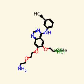 C#Cc1cccc(Nc2ncnc3cc(OCCOCCN)c(OCCOC)cc23)c1.Cl.Cl